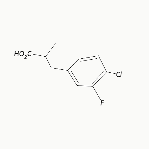 CC(Cc1ccc(Cl)c(F)c1)C(=O)O